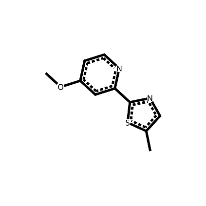 COc1ccnc(-c2ncc(C)s2)c1